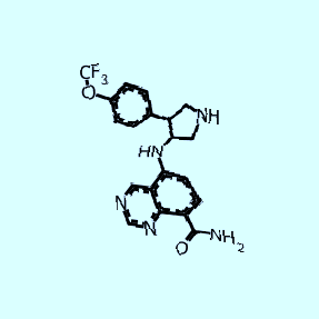 NC(=O)c1ccc(NC2CNCC2c2ccc(OC(F)(F)F)cc2)c2cncnc12